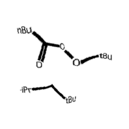 CCCCC(=O)OOC(C)(C)C.C[C](C)CC(C)(C)C